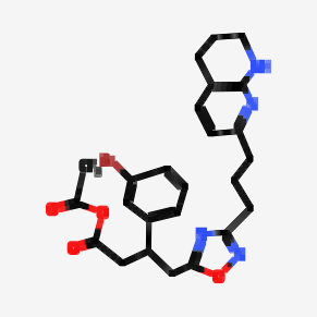 O=C(CC(Cc1nc(CCCc2ccc3c(n2)NCCC3)no1)c1cccc(Br)c1)OC(=O)C(F)(F)F